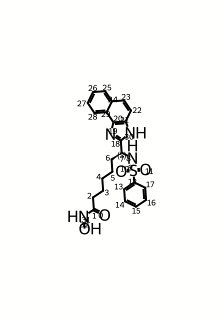 O=C(CCCCC[C@H](NS(=O)(=O)c1ccccc1)c1nc2c(ccc3ccccc32)[nH]1)NO